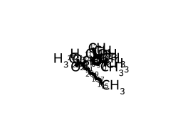 CC(C)(C)c1cccc(C(C)(C)C)c1O.CCCCCCCCC(S)C(=O)OC